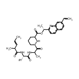 C=Cc1ccc2ccc([C@@H](C)OC(=O)C3CCCN(C(=O)C(C)NC(=O)[C@@H](NC(=O)C(C)/C=C/C)C(C)C)N3)nc2c1